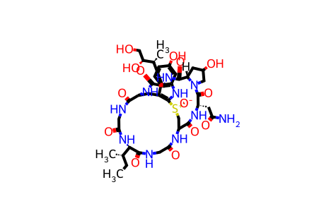 CC[C@H](C)[C@@H]1NC(=O)CNC(=O)C2Cc3c([nH]c4cc(O)ccc34)[S@@+]([O-])CC(NC(=O)CNC1=O)C(=O)N[C@@H](CC(N)=O)C(=O)N1CC(O)C[C@H]1C(=O)N[C@@H]([C@@H](C)[C@@H](O)CO)C(=O)N2